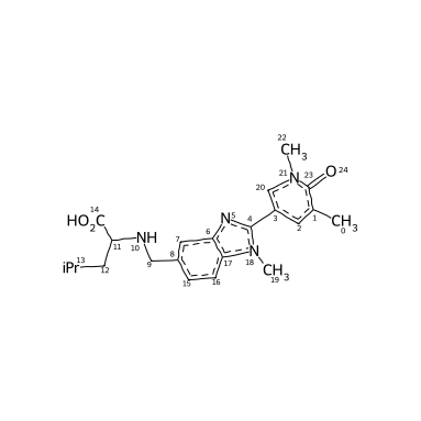 Cc1cc(-c2nc3cc(CNC(CC(C)C)C(=O)O)ccc3n2C)cn(C)c1=O